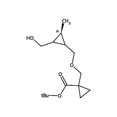 C[C@@H]1C(CO)C1COCC1(C(=O)OC(C)(C)C)CC1